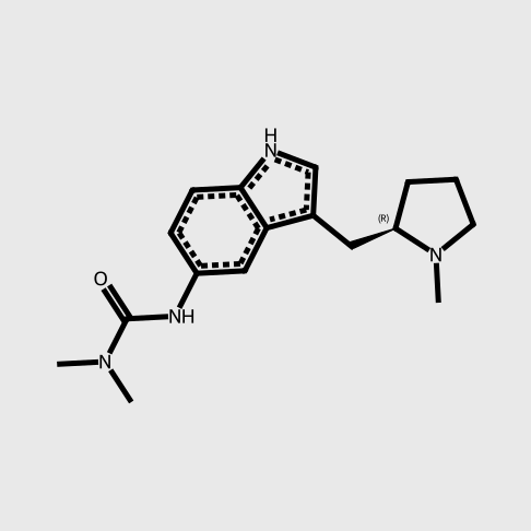 CN(C)C(=O)Nc1ccc2[nH]cc(C[C@H]3CCCN3C)c2c1